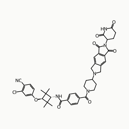 CC1(C)[C@H](NC(=O)c2ccc(C(=O)N3CCC(N4Cc5cc6c(cc5C4)C(=O)N(C4CCC(=O)NC4=O)C6=O)CC3)cc2)C(C)(C)[C@H]1Oc1ccc(C#N)c(Cl)c1